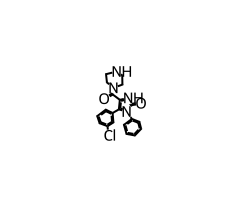 O=C(c1[nH]c(=O)n(-c2ccccc2)c1-c1cccc(Cl)c1)N1CCNCC1